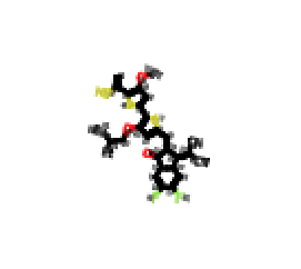 C=C(S)c1sc(-c2sc(/C=C3\C(=O)c4cc(F)c(F)cc4C3=C(C#N)C#N)cc2OCC(CC)CCCC)cc1OC(C)C